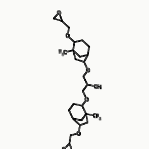 OC(COC1CC2(C(F)(F)F)CC1CCC2OCC1CO1)COC1CCC2CC1(C(F)(F)F)CC2OCC1CO1